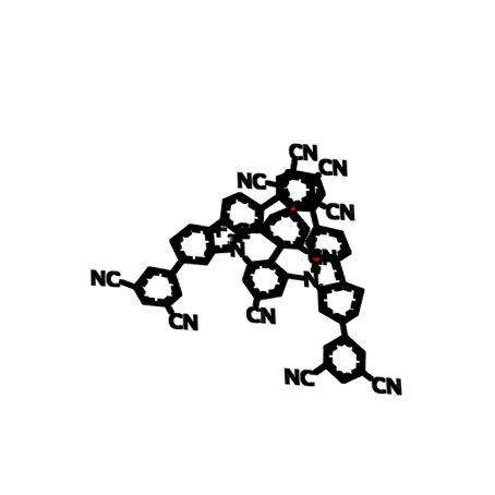 N#Cc1cc(C#N)cc(-c2ccc3c4ccc(-c5cc(C#N)cc(C#N)c5)cc4n(-c4cc(C#N)cc(-n5c6cc(-c7cc(C#N)cc(C#N)c7)ccc6c6ccc(-c7cc(C#N)cc(C#N)c7)cc65)c4-c4c(C#N)cccc4C(F)(F)F)c3c2)c1